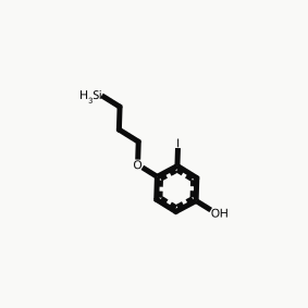 Oc1ccc(OCCC[SiH3])c(I)c1